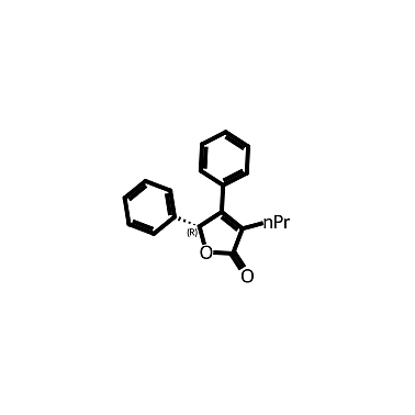 CCCC1=C(c2ccccc2)[C@@H](c2ccccc2)OC1=O